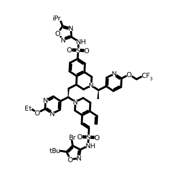 C=CC1=C(/C=C/S(=O)(=O)Nc2noc(C(C)(C)C)c2Br)CN([C@H](CC2CN([C@H](C)c3ccc(OCC(F)(F)F)nc3)Cc3cc(S(=O)(=O)Nc4noc(C(C)C)n4)ccc32)c2cnc(OCC)nc2)CC1